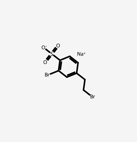 O=S(=O)([O-])c1ccc(CCBr)cc1Br.[Na+]